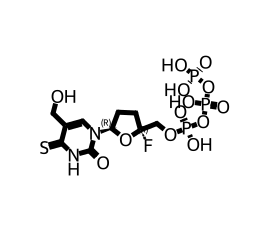 O=c1[nH]c(=S)c(CO)cn1[C@H]1CC[C@@](F)(COP(=O)(O)OP(=O)(O)OP(=O)(O)O)O1